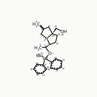 C=C1CN2[C@H](C(C)O[Si](c3ccccc3)(c3ccccc3)C(C)(C)C)CC[C@@]2(CO)C1